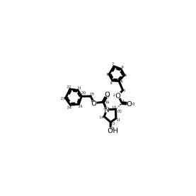 O=C(OCc1ccccc1)[C@@H]1CC(O)CN1C(=O)OCc1ccccc1